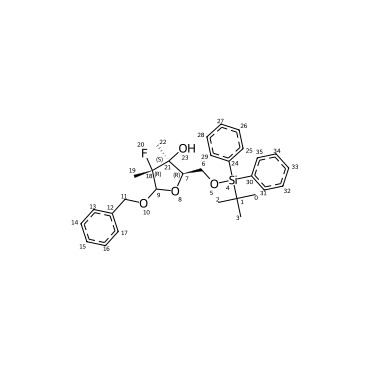 CC(C)(C)[Si](OC[C@H]1OC(OCc2ccccc2)[C@](C)(F)[C@@]1(C)O)(c1ccccc1)c1ccccc1